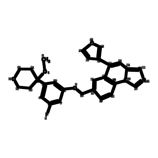 COC1(c2cc(F)cc(OCc3ccc4c(c3)c(-c3ccoc3)cc3nncn34)c2)CCOCC1